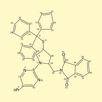 CCCc1cnc(N2CC(SC(c3ccccc3)(c3ccccc3)c3ccccc3)CC2CN2C(=O)c3ccccc3C2=O)nc1